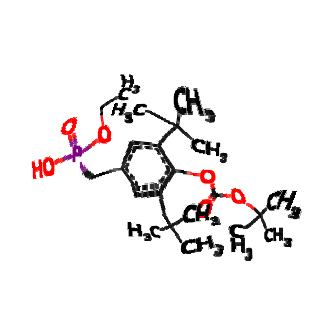 CCOP(=O)(O)Cc1cc(C(C)(C)C)c(OC(=O)OC(C)(C)C)c(C(C)(C)C)c1